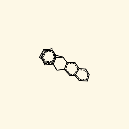 c1ccc2c(c1)C1c3cc4ccccc4cc3C2c2nccnc21